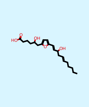 CCCCCC=CCC(O)C=Cc1ccc(CC(O)CCCC(=O)O)o1